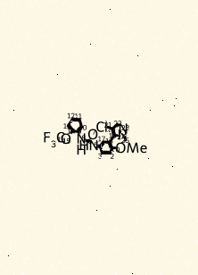 COc1ccc(NC(=O)Nc2ccccc2OC(F)(F)F)cc1-c1c(Cl)cnn1C